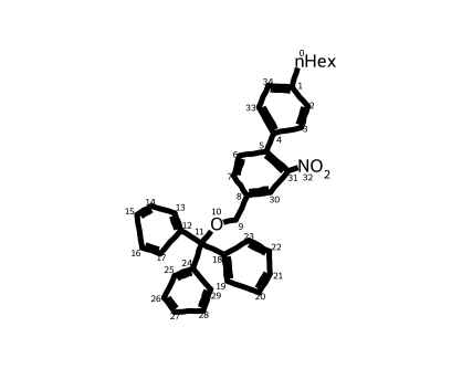 CCCCCCc1ccc(-c2ccc(COC(c3ccccc3)(c3ccccc3)c3ccccc3)cc2[N+](=O)[O-])cc1